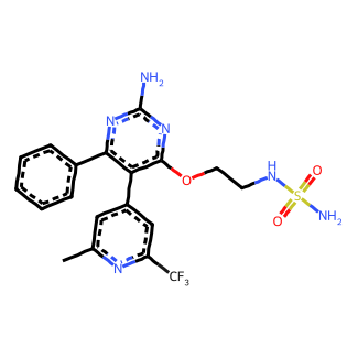 Cc1cc(-c2c(OCCNS(N)(=O)=O)nc(N)nc2-c2ccccc2)cc(C(F)(F)F)n1